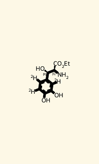 [2H]c1c([2H])c([C@@H](O)[C@H](N)C(=O)OCC)c([2H])c(O)c1O